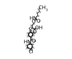 CCCCCNC(=O)OCCC(Sc1ccc(C(=O)Nc2ccc(Cl)cc2)cc1)C(=O)O